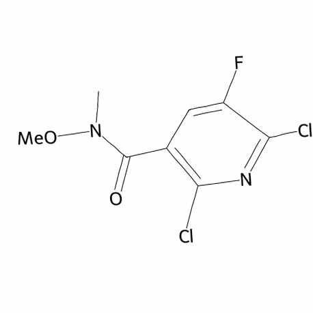 CON(C)C(=O)c1cc(F)c(Cl)nc1Cl